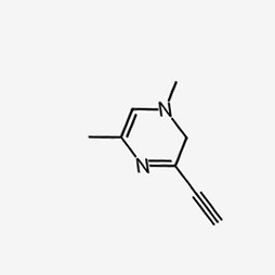 C#CC1=NC(C)=CN(C)C1